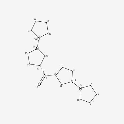 O=C([C@@H]1CCN(N2CCCC2)C1)[C@@H]1CCN(N2CCCC2)C1